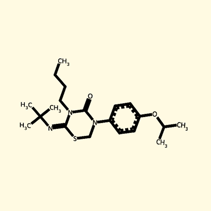 CCCCN1C(=O)N(c2ccc(OC(C)C)cc2)CSC1=NC(C)(C)C